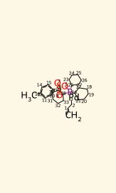 C=C[CH2][Pd][P](OS(=O)(=O)c1ccc(C)cc1)(C1CCCCC1)(C1CCCCC1)C1CCCCC1